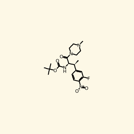 C[C@@H](c1ccc([N+](=O)[O-])c(F)c1)[C@@H](NC(=O)OC(C)(C)C)C(=O)N1CCN(C)CC1